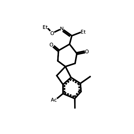 CCO/N=C(/CC)C1C(=O)CC2(CC1=O)Cc1c(C(C)=O)c(C)cc(C)c12